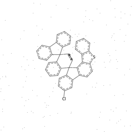 Clc1ccc2c(c1)-c1ccc3sc4ccccc4c3c1C21c2ccccc2C2(c3ccccc3-c3ccccc32)c2ccccc21